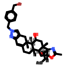 CC(=O)OCC(=O)[C@@]12N=C(C)O[C@@H]1C[C@H]1[C@@H]3CCC4=Cc5nn(Cc6ccc(CBr)cc6)cc5C[C@]4(C)[C@H]3[C@@H](O)C[C@@]12C